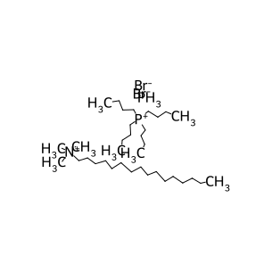 CCCCCCCCCCCCCCCC[N+](C)(C)C.CCCC[P+](CCCC)(CCCC)CCCC.P.[Br-].[Br-]